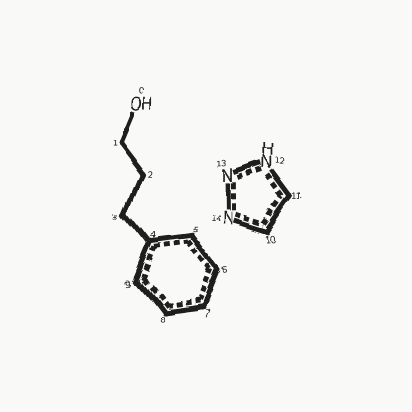 OCCCc1ccccc1.c1c[nH]nn1